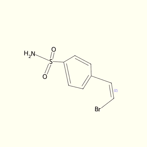 NS(=O)(=O)c1ccc(/C=C\Br)cc1